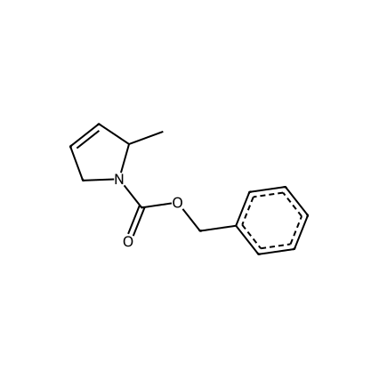 CC1C=CCN1C(=O)OCc1ccccc1